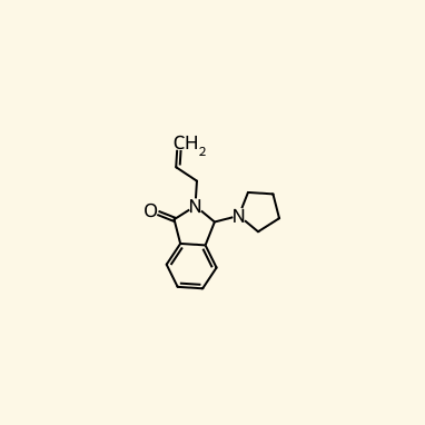 C=CCN1C(=O)c2ccccc2C1N1CCCC1